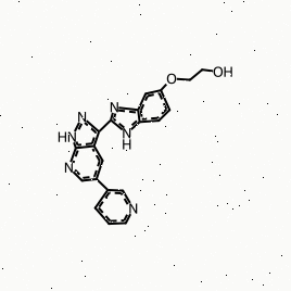 OCCOc1ccc2[nH]c(-c3n[nH]c4ncc(-c5cccnc5)cc34)nc2c1